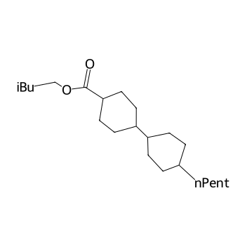 CCCCCC1CCC(C2CCC(C(=O)OCC(C)CC)CC2)CC1